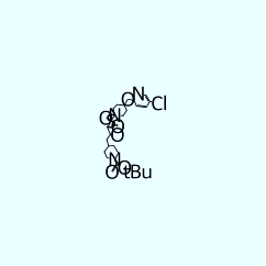 CC(C)(C)OC(=O)N1CCC(CC(=O)CS(=O)(=O)N2CCC(Oc3ccc(Cl)cn3)CC2)CC1